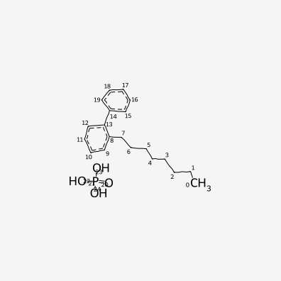 CCCCCCCCc1ccccc1-c1ccccc1.O=P(O)(O)O